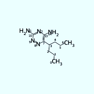 CCCC(CCC)c1nnc(N)nc1N